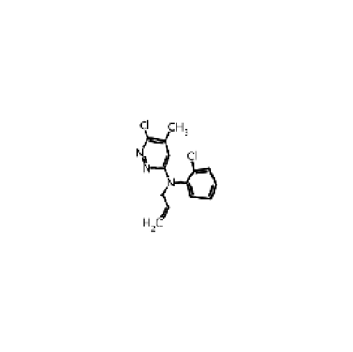 C=CCN(c1cc(C)c(Cl)nn1)c1ccccc1Cl